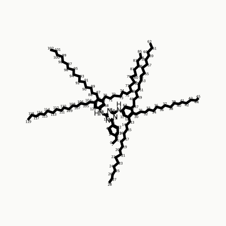 [CH2]Cc1ccc(-c2nc(Nc3cc(CCCCCCCCCCCCCCCC)c(CCCCCCCCCCCCCCCC)c(CCCCCCCCCCCCCCCC)c3)nc(Nc3cc(CCCCCCCCCCCCCCCC)c(CCCCCCCCCCCCCCCC)c(CCCCCCCCCCCCCCCC)c3)n2)cc1